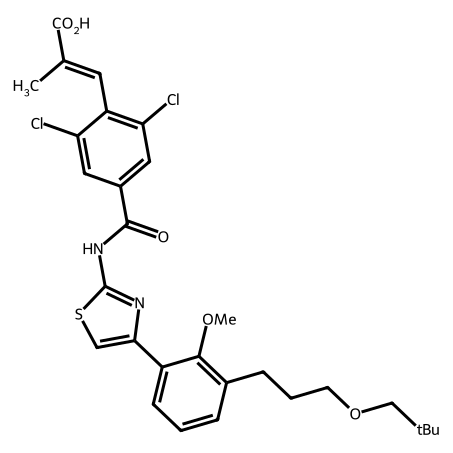 COc1c(CCCOCC(C)(C)C)cccc1-c1csc(NC(=O)c2cc(Cl)c(/C=C(\C)C(=O)O)c(Cl)c2)n1